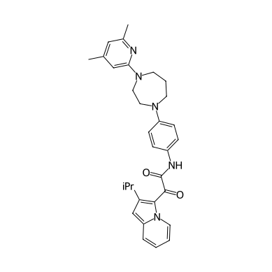 Cc1cc(C)nc(N2CCCN(c3ccc(NC(=O)C(=O)c4c(C(C)C)cc5ccccn45)cc3)CC2)c1